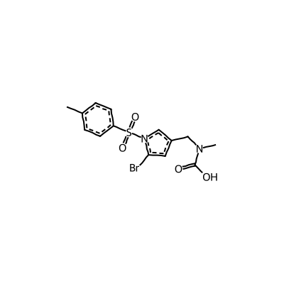 Cc1ccc(S(=O)(=O)n2cc(CN(C)C(=O)O)cc2Br)cc1